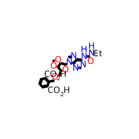 CCNC(=O)Nc1ncnc2c1ncn2C1OC(COCc2c(C(=O)O)cccc2C(=O)O)C2OCOC21